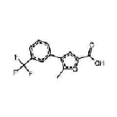 Cc1oc(C(=O)O)cc1-c1cccc(C(F)(F)F)c1